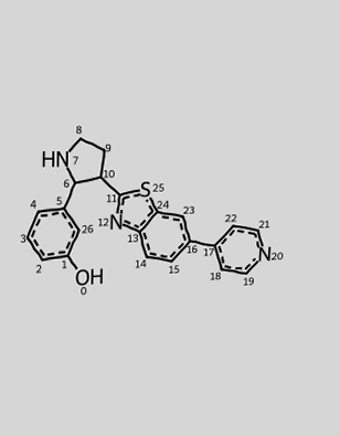 Oc1cccc(C2NCCC2c2nc3ccc(-c4ccncc4)cc3s2)c1